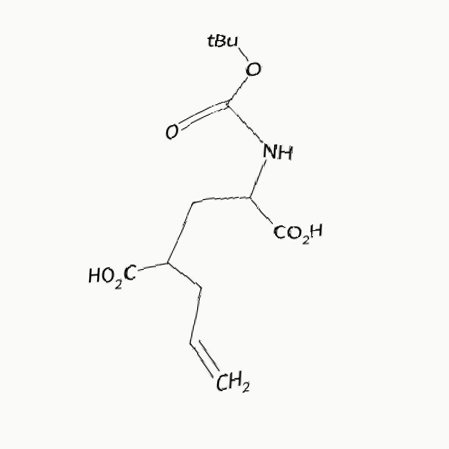 C=CCC(CC(NC(=O)OC(C)(C)C)C(=O)O)C(=O)O